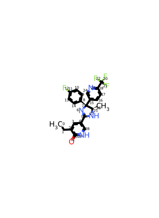 CCc1cc(C2=N[C@](c3ccc(F)cc3)(c3ccc(C(F)(F)F)nc3)[C@H](C)N2)c[nH]c1=O